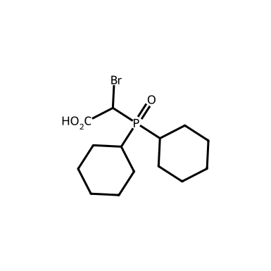 O=C(O)C(Br)P(=O)(C1CCCCC1)C1CCCCC1